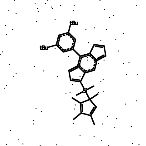 CC1=CC(C)([Si](C)(C)C2=CC=c3c2cc2c(c3-c3cc(C(C)(C)C)cc(C(C)(C)C)c3)C=CC=2)C(C)=C1C